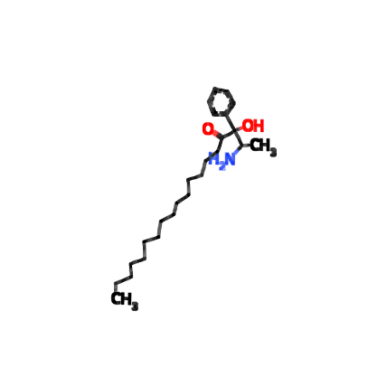 CCCCCCCCCCCCCCCC(=O)C(O)(c1ccccc1)C(C)N